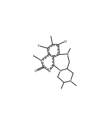 Cc1c(Cl)c2c3c(nc(=O)n(I)c3c1F)N1CC(C)N(C)CC1CN2C